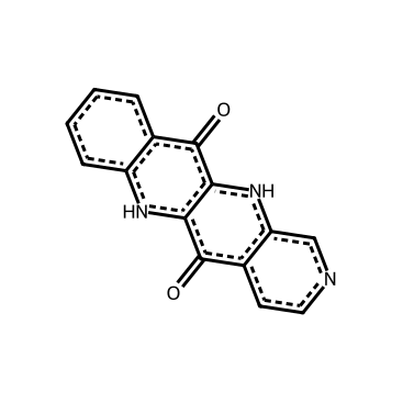 O=c1c2ccccc2[nH]c2c(=O)c3ccncc3[nH]c12